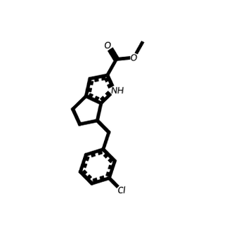 COC(=O)c1cc2c([nH]1)C(Cc1cccc(Cl)c1)CC2